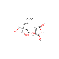 O=C(O)C=CC(CO)(CO)CCO.O=C1C=CC(=O)O1